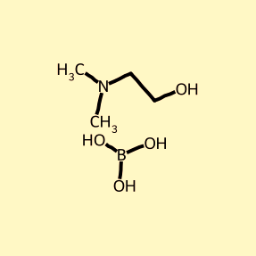 CN(C)CCO.OB(O)O